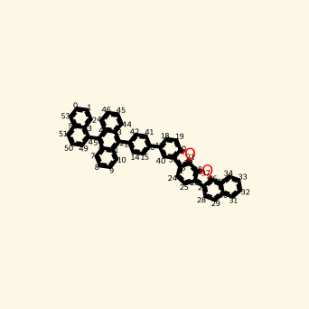 c1ccc2c(-c3c4ccccc4c(-c4ccc(-c5ccc6oc7c(ccc8c9ccc%10ccccc%10c9oc87)c6c5)cc4)c4ccccc34)cccc2c1